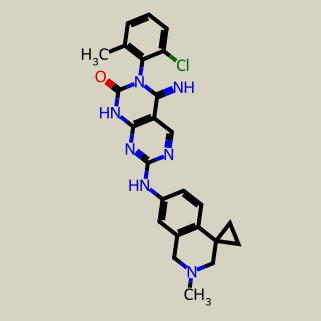 Cc1cccc(Cl)c1-n1c(=O)[nH]c2nc(Nc3ccc4c(c3)CN(C)CC43CC3)ncc2c1=N